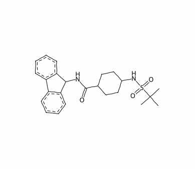 CC(C)(C)S(=O)(=O)NC1CCC(C(=O)NC2c3ccccc3-c3ccccc32)CC1